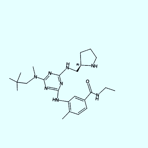 CCNC(=O)c1ccc(C)c(Nc2nc(NC[C@H]3CCCN3)nc(N(C)CC(C)(C)C)n2)c1